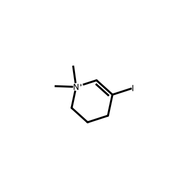 C[N+]1(C)C=C(I)CCC1